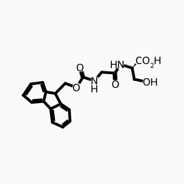 O=C(CNC(=O)OCC1c2ccccc2-c2ccccc21)N[C@@H](CO)C(=O)O